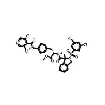 COC(=O)[C@H](Cc1ccc(NC(=O)c2c(Cl)cncc2Cl)cc1)NC(=O)C1(C)c2ccccc2CN1S(=O)(=O)c1cc(Cl)cc(Cl)c1